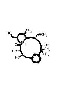 C=C[C@@H]1CC(/C(C)=C\C(CC)CO)OC(=O)[C@@H](O)[C@H](O)Cc2cccc(c2)C(C)(C)[C@@H](O)C1